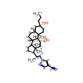 CCC[C@@]1(O)CC[C@@]2(C)[C@H](CC[C@@H]3[C@@H]2[C@H](O)C[C@]2(C)[C@@H]([C@@H](C)Cn4cc(C#N)cn4)CC[C@@]32C)C1